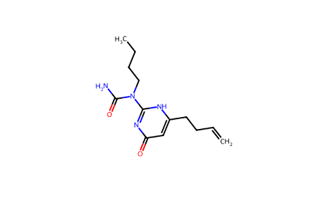 C=CCCc1cc(=O)nc(N(CCCC)C(N)=O)[nH]1